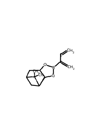 C=CC(=C)B1OC2CC3CC(C2O1)C3(C)C